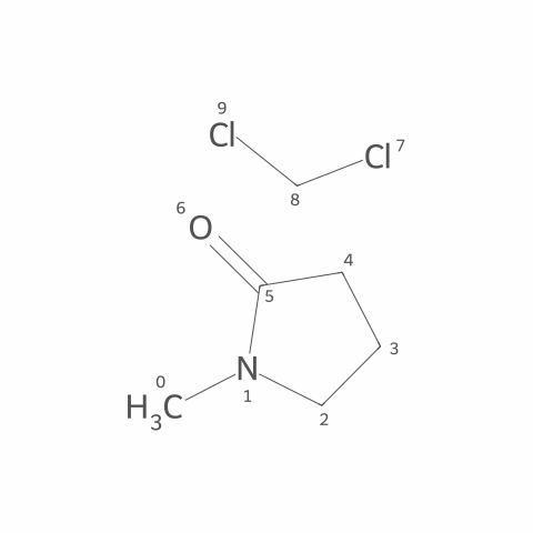 CN1CCCC1=O.ClCCl